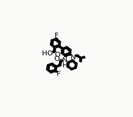 CC(C)CN(c1ccc(-c2cc(F)ccc2C(=O)O)cc1NC(=O)Cc1ccccc1F)C1CCCCC1